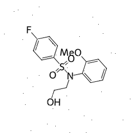 COc1ccccc1N(CCO)S(=O)(=O)c1ccc(F)cc1